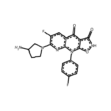 NC1CCN(c2nc3c(cc2F)c(=O)c2c(=O)[nH]oc2n3-c2ccc(F)cc2)C1